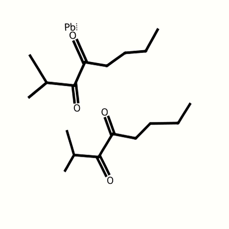 CCCCC(=O)C(=O)C(C)C.CCCCC(=O)C(=O)C(C)C.[Pb]